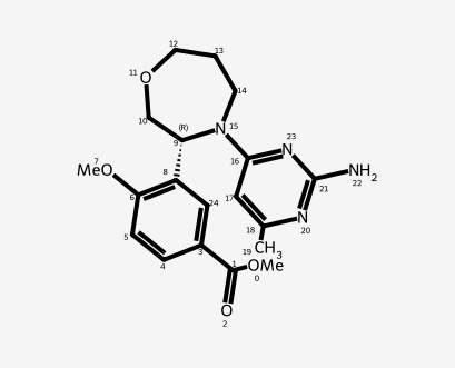 COC(=O)c1ccc(OC)c([C@@H]2COCCCN2c2cc(C)nc(N)n2)c1